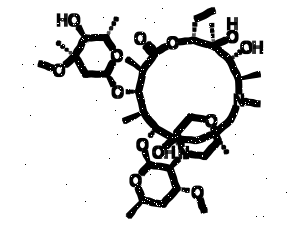 CC[C@H]1OC(=O)[C@H](C)[C@@H](O[C@H]2C[C@@](C)(OC)[C@@H](O)[C@H](C)O2)[C@H](C)[C@@H](O[C@@H]2O[C@H](C)C[C@@H](OC)[C@@H]2N2CCOCC2)[C@](C)(O)C[C@@H](C)CN(C)[C@H](C)[C@@H](O)[C@]1(C)O